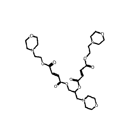 O=C(/C=C/C(=O)OCC(CN1CCOCC1)OC(=O)/C=C/C(=O)OCCN1CCOCC1)OCCN1CCOCC1